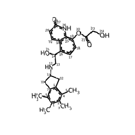 Cc1c(C)c(C)c2c(c1C)CC(NC[C@@H](O)c1ccc(OC(=O)CO)c3[nH]c(=O)ccc13)C2